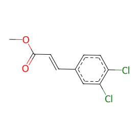 COC(=O)C=Cc1ccc(Cl)c(Cl)c1